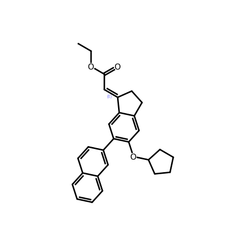 CCOC(=O)/C=C1\CCc2cc(OC3CCCC3)c(-c3ccc4ccccc4c3)cc21